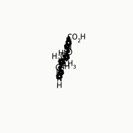 Cc1c(NC(=O)c2ccc3c(n2)CCNC3)cccc1-c1cccc(NC(=O)c2ccc3c(n2)CCN(CC(=O)O)C3)c1C